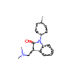 Cc1ccc(N2C(=O)C(=CN(C)C)c3ccccc32)cc1